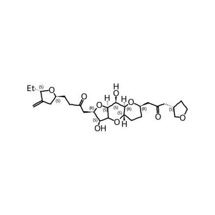 C=C1C[C@H](CCC(=O)C[C@H]2O[C@@H]3C(O[C@H]4CC[C@H](CC(=O)C[C@@H]5CCOC5)O[C@@H]4[C@@H]3O)[C@H]2O)O[C@H]1CC